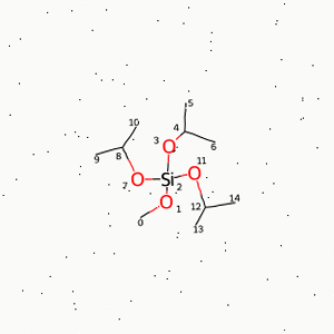 CO[Si](OC(C)C)(OC(C)C)OC(C)C